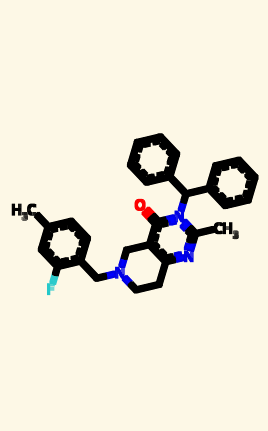 Cc1ccc(CN2CCc3nc(C)n(C(c4ccccc4)c4ccccc4)c(=O)c3C2)c(F)c1